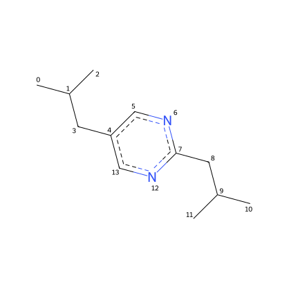 CC(C)Cc1cnc(CC(C)C)nc1